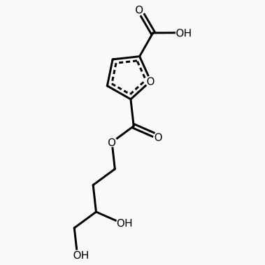 O=C(O)c1ccc(C(=O)OCCC(O)CO)o1